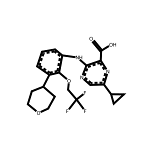 O=C(O)c1nc(C2CC2)cnc1Nc1cccc(C2CCOCC2)c1OCC(F)(F)F